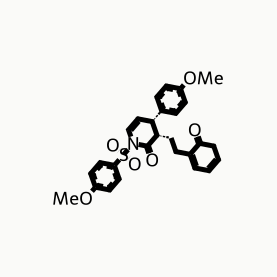 COc1ccc([C@H]2C=CN(S(=O)(=O)c3ccc(OC)cc3)C(=O)[C@H]2CCC2=CC=CCC2=O)cc1